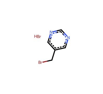 Br.BrCc1cncnc1